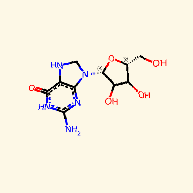 Nc1nc2c(c(=O)[nH]1)NCN2[C@@H]1O[C@H](CO)C(O)C1O